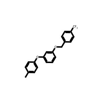 Cc1ccc(Oc2cccc(OCc3ccc(C(F)(F)F)cc3)c2)cc1